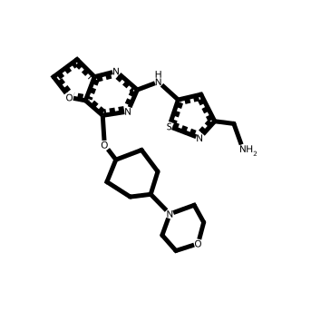 NCc1cc(Nc2nc(OC3CCC(N4CCOCC4)CC3)c3occc3n2)sn1